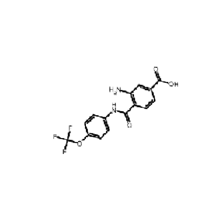 Nc1cc(C(=O)O)ccc1C(=O)Nc1ccc(OC(F)(F)F)cc1